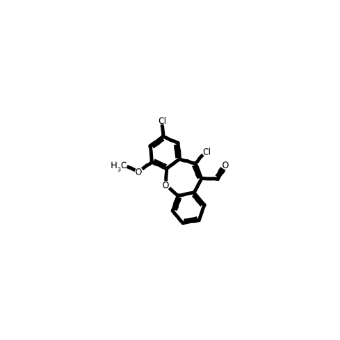 COc1cc(Cl)cc2c1Oc1ccccc1C(C=O)=C2Cl